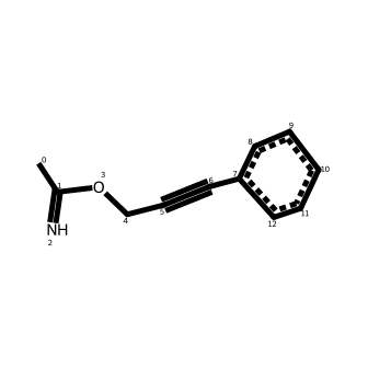 CC(=N)OCC#Cc1ccccc1